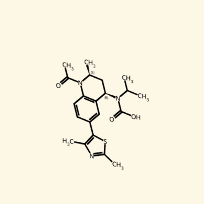 CC(=O)N1c2ccc(-c3sc(C)nc3C)cc2[C@H](N(C(=O)O)C(C)C)C[C@@H]1C